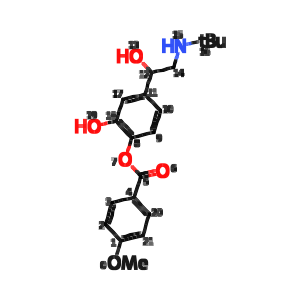 COc1ccc(C(=O)Oc2ccc(C(O)CNC(C)(C)C)cc2O)cc1